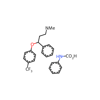 CNCCC(Oc1ccc(C(F)(F)F)cc1)c1ccccc1.O=C(O)Nc1ccccc1